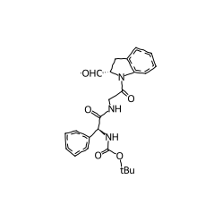 CC(C)(C)OC(=O)N[C@H](C(=O)NCC(=O)N1c2ccccc2C[C@H]1[C]=O)c1ccccc1